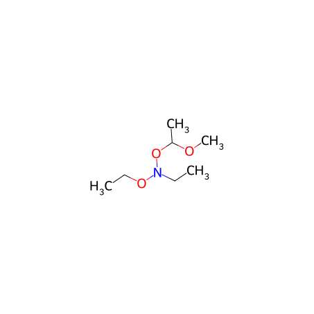 CCON(CC)OC(C)OC